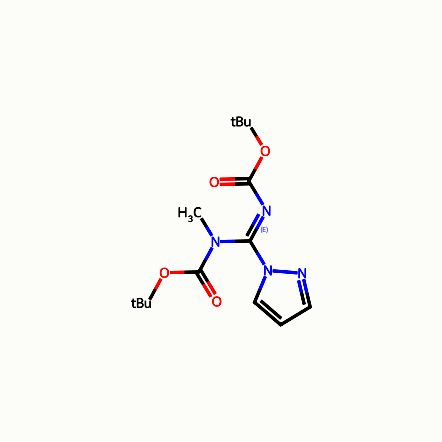 CN(C(=O)OC(C)(C)C)/C(=N\C(=O)OC(C)(C)C)n1cccn1